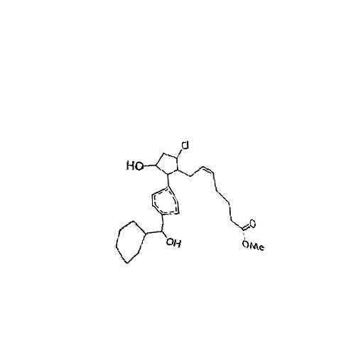 COC(=O)CCC/C=C\CC1C(Cl)CC(O)C1c1ccc(C(O)C2CCCCC2)cc1